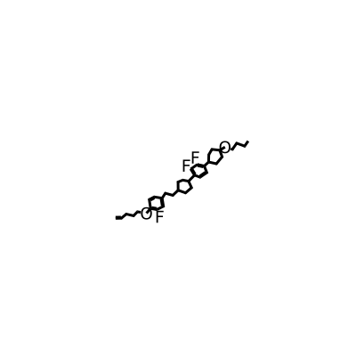 C=CCCCOc1ccc(CCC2CCC(c3ccc(C4CCC(OCCCC)CC4)c(F)c3F)CC2)cc1F